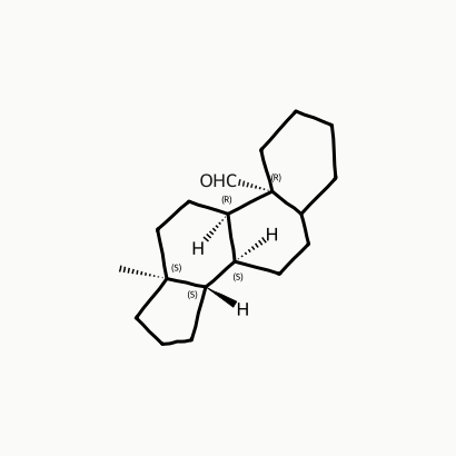 C[C@@]12CCC[C@H]1[C@@H]1CCC3CCCC[C@]3(C=O)[C@@H]1CC2